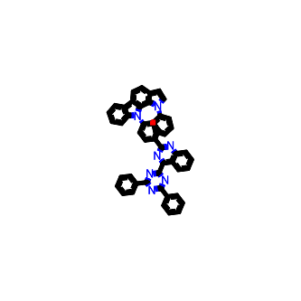 c1ccc(-c2nc(-c3ccccc3)nc(-c3nc(-c4ccc(-n5c6ccccc6c6ccc7ccn(-c8ccccc8)c7c65)cc4)nc4ccccc34)n2)cc1